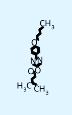 CCCCCCOc1ccc(-c2ncc(OC(=O)CCC(C)CC)cn2)cc1